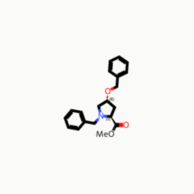 COC(=O)[C@@H]1C[C@@H](OCc2ccccc2)CN1Cc1ccccc1